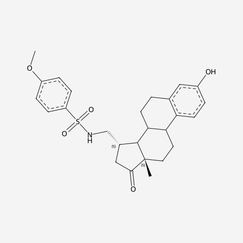 COc1ccc(S(=O)(=O)NC[C@H]2CC(=O)[C@@]3(C)CCC4c5ccc(O)cc5CCC4C23)cc1